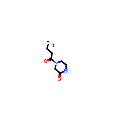 CCCC(=O)N1CCNC(=O)C1